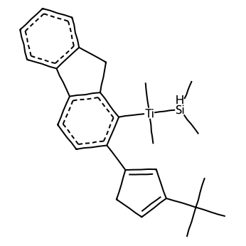 C[SiH](C)[Ti]([CH3])([CH3])[c]1c(C2=CC(C(C)(C)C)=CC2)ccc2c1Cc1ccccc1-2